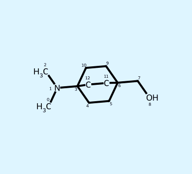 CN(C)C12CCC(CO)(CC1)CC2